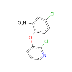 O=[N+]([O-])c1cc(Cl)ccc1Oc1cccnc1Cl